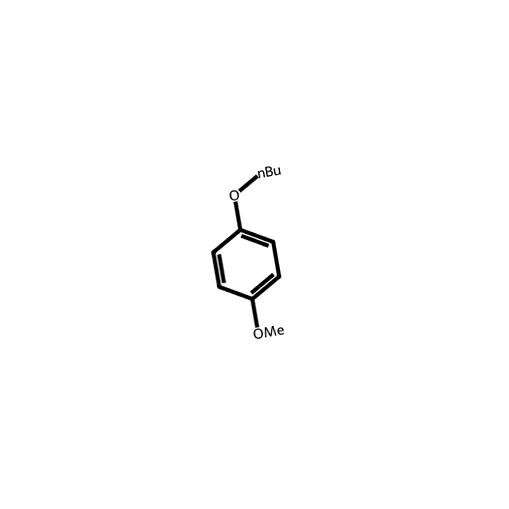 [CH2]Oc1ccc(OCCCC)cc1